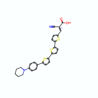 N#C/C(=C\c1ccc(-c2ccc(-c3ccc(-c4ccc(N5CCCCC5)cc4)s3)s2)s1)C(=O)O